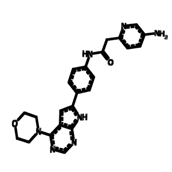 Nc1ccc(CC(=O)Nc2ccc(-c3cc4c(N5CCOCC5)ncnc4[nH]3)cc2)nc1